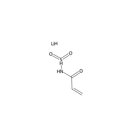 C=CC(=O)N[SH](=O)=O.[LiH]